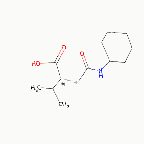 CC(C)[C@@H](CC(=O)NC1CCCCC1)C(=O)O